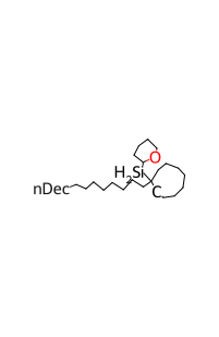 CCCCCCCCCCCCCCCCCCC1([SiH2]C2CCCCO2)CCCCCCCC1